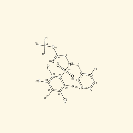 Cc1ccncc1CN(CC(=O)OC(C)(C)C)S(=O)(=O)c1c(F)c(F)c(F)c(Cl)c1F